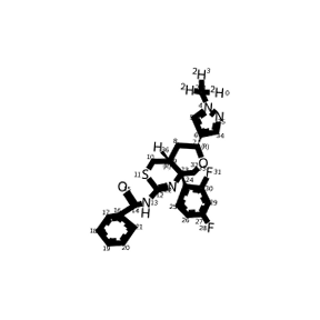 [2H]C([2H])([2H])n1cc([C@H]2C[C@H]3CSC(NC(=O)c4ccccc4)=N[C@@]3(c3ccc(F)cc3F)CO2)cn1